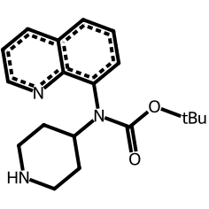 CC(C)(C)OC(=O)N(c1cccc2cccnc12)C1CCNCC1